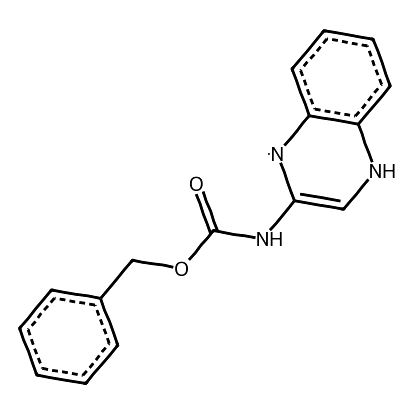 O=C(NC1=CNc2ccccc2[N]1)OCc1ccccc1